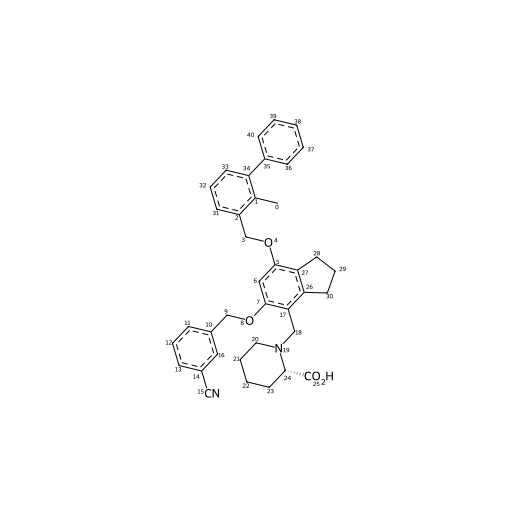 Cc1c(COc2cc(OCc3cccc(C#N)c3)c(CN3CCCC[C@H]3C(=O)O)c3c2CCC3)cccc1-c1ccccc1